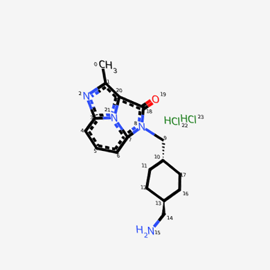 Cc1nc2cccc3n(C[C@H]4CC[C@H](CN)CC4)c(=O)c1n23.Cl.Cl